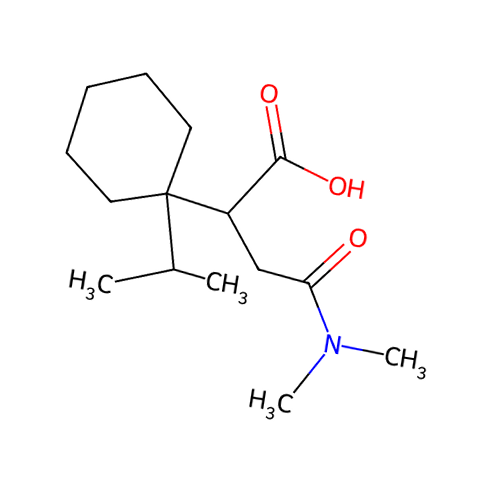 CC(C)C1(C(CC(=O)N(C)C)C(=O)O)CCCCC1